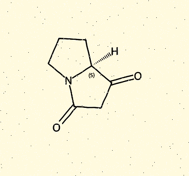 O=C1CC(=O)N2CCC[C@@H]12